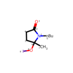 CCCCN1C(=O)CCC1(C)OI